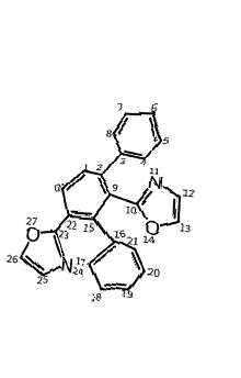 [c]1cc(-c2ccccc2)c(-c2ncco2)c(-c2ccccc2)c1-c1ncco1